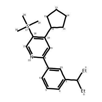 CCC(CC)c1cccc(-c2cc(C3CCCC3)c(S(C)(C)C)cn2)c1